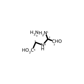 N.NC(C=O)NCC(=O)O